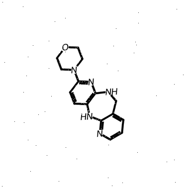 c1cnc2c(c1)CNc1nc(N3CCOCC3)ccc1N2